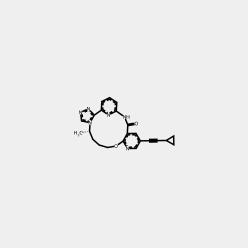 C[C@H]1CCCOc2ncc(C#CC3CC3)cc2C(=O)Nc2cccc(n2)-c2nncn21